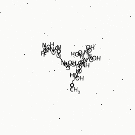 Cc1ccc(CCCC(O)NCCOCCC(NC(=O)CN2CCN(CC(=O)O)CCN(CC(=O)O)CCN(CC(=O)O)CC2)C(=O)NCCSCC(O)C(=O)N2CCN(CCCCOc3ccc4nccc(C(=O)NCC(=O)N5CC(F)(F)C[C@@H]5C#N)c4c3)CC2)cc1